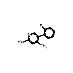 Cc1cc(C(C)(C)C)ncc1-c1ccccc1F